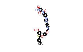 O=C1CCC(N2Cc3cc(N4CCN(C5CC6(C5)CN(CCOc5ccc(Oc7c(-c8ccc(C(F)(F)F)cc8)sc8cc(O)ccc78)cc5)C6)CC4)ccc3C2=O)C(=O)N1